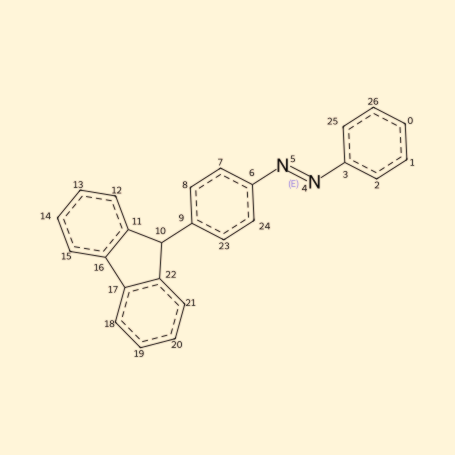 c1ccc(/N=N/c2ccc(C3c4ccccc4-c4ccccc43)cc2)cc1